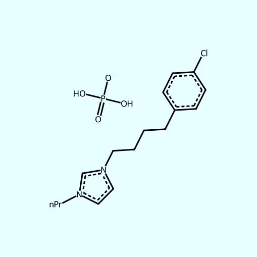 CCC[n+]1ccn(CCCCc2ccc(Cl)cc2)c1.O=P([O-])(O)O